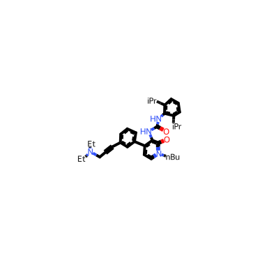 CCCCn1ccc(-c2cccc(C#CCN(CC)CC)c2)c(NC(=O)Nc2c(C(C)C)cccc2C(C)C)c1=O